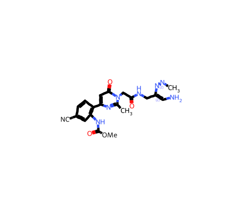 C/N=N\C(=C/N)CNC(=O)Cn1c(C)nc(-c2ccc(C#N)cc2NC(=O)OC)cc1=O